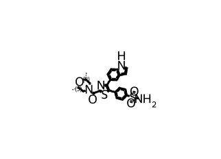 C[C@@H]1CN(C(=O)c2nc(-c3ccc4[nH]ccc4c3)c(-c3ccc(S(N)(=O)=O)cc3)s2)C[C@H](C)O1